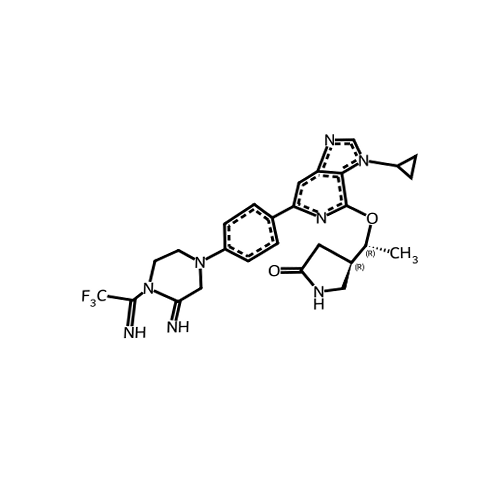 C[C@@H](Oc1nc(-c2ccc(N3CCN(C(=N)C(F)(F)F)C(=N)C3)cc2)cc2ncn(C3CC3)c12)[C@H]1CNC(=O)C1